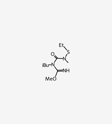 CCSN(C)C(=O)N(C(=N)OC)C(C)CC